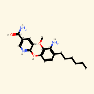 CCCCCCc1ccc(Oc2ccc(C(N)=O)cn2)c(OC)c1N